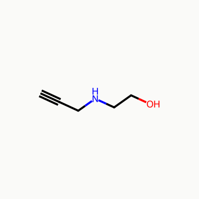 C#CCNCCO